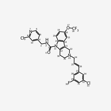 O=C(NCc1ccnc(Cl)c1)n1c2c(c3cc(OC(F)(F)F)ccc31)CN(CC=Cc1cc(F)cc(Cl)c1)CC2